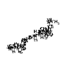 Cc1ncsc1-c1ccc(CNC(=O)[C@@H]2CCCN2C(=O)C(NC(=O)CCNCCOCCn2cc(CNC(=O)C3(Cc4cccc(Nc5nccs5)n4)CCCCC3)nn2)C(C)(C)C)cc1